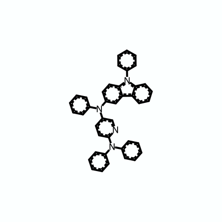 c1ccc(N(c2ccc(N(c3ccccc3)c3ccccc3)nc2)c2ccc3c(c2)c2ccccc2n3-c2ccccc2)cc1